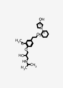 COc1cc(CCO[C@@H]2CCCC[C@H]2N2CC[C@H](O)C2)ccc1OCC(O)CNC(C)C